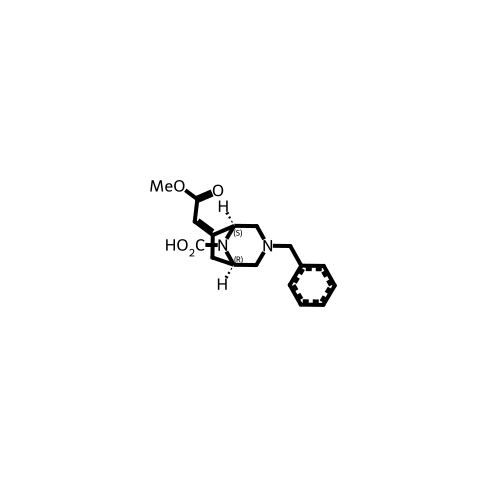 COC(=O)C=C1C[C@@H]2CN(Cc3ccccc3)C[C@H]1N2C(=O)O